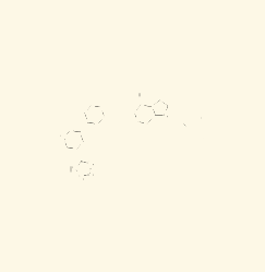 C=C(C)Cn1ccc2c(CCC)c(OCc3cccc(-c4cncc(-c5nnn[nH]5)c4)c3)ccc21